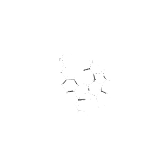 CNNCc1ccc(C(=O)NC(C)C)cc1.Cn1nnc2c(C(N)=O)ncn2c1=O